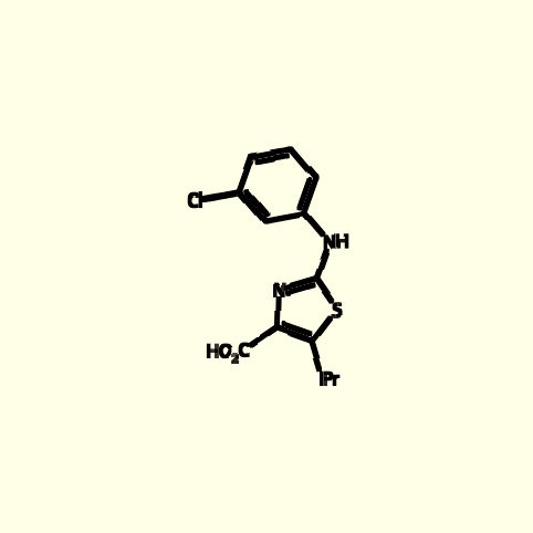 CC(C)c1sc(Nc2cccc(Cl)c2)nc1C(=O)O